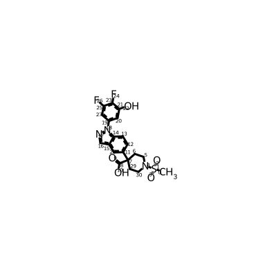 CS(=O)(=O)N1CCC(C(=O)O)(c2ccc3c(cnn3-c3cc(O)c(F)c(F)c3)c2)CC1